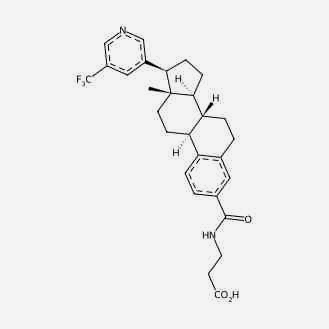 C[C@]12CC[C@@H]3c4ccc(C(=O)NCCC(=O)O)cc4CC[C@H]3[C@@H]1CC[C@@H]2c1cncc(C(F)(F)F)c1